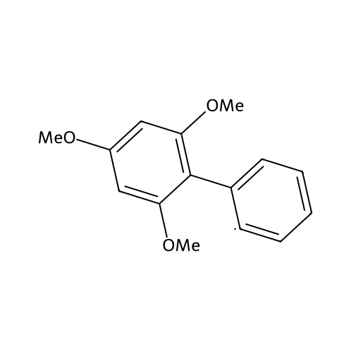 COc1cc(OC)c(-c2[c]cccc2)c(OC)c1